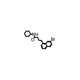 O=C(CCCc1cccc2ccc(Br)cc12)NC1CCCCC1